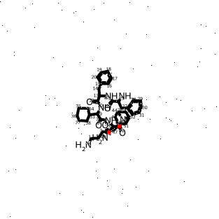 NCCCCC(NC(=O)C(NC(=O)C(Cc1ccccc1)NC(=O)C(N)Cc1ccccc1)C1CCCCC1)C(=O)N1C2CC1CN(CC(N)=O)C2